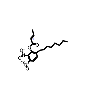 C/C=C/C(=O)Oc1c(CCCCCCCC)ccc([N+](=O)[O-])c1[N+](=O)[O-]